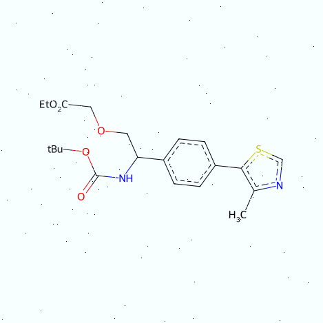 CCOC(=O)COCC(NC(=O)OC(C)(C)C)c1ccc(-c2scnc2C)cc1